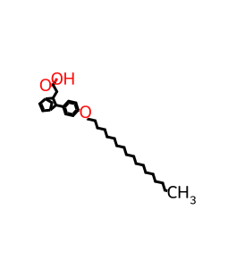 CCCCCCCCCCCCCCCCCCOc1ccc(C2C3C=CC(C3)C2CC(=O)O)cc1